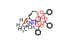 C[C@H]1/C=C/CCSC2OC(C(OC(=O)c3ccccc3)C(OC(=O)c3ccccc3)C2OC(=O)c2ccccc2)[C@@H]1N[S@+]([O-])C(C)(C)C